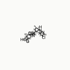 Cc1cc(Nc2ncc(Cl)c(C)n2)cc(-c2cnc([C@]3(O)CC[C@@H](C(=O)O)C(C)(C)C3)s2)c1